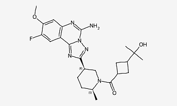 COc1cc2nc(N)n3nc([C@@H]4CC[C@H](C)N(C(=O)C5CC(C(C)(C)O)C5)C4)nc3c2cc1F